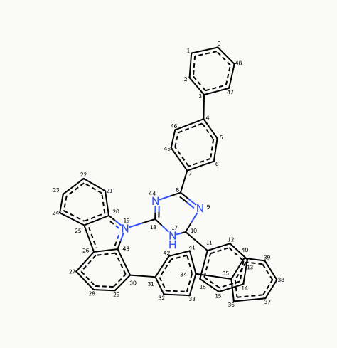 c1ccc(-c2ccc(C3=NC(c4ccccc4)NC(n4c5ccccc5c5cccc(-c6ccc(-c7ccccc7)cc6)c54)=N3)cc2)cc1